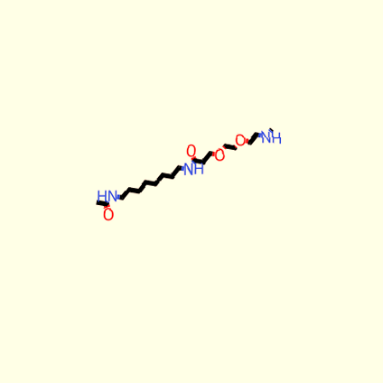 CNCCOCCOCCC(=O)NCCCCCCCCNC(C)=O